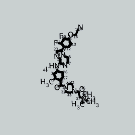 Cc1cc(Nc2nccn3c(-c4ccc(OCC#N)c(F)c4F)cnc23)ccc1C(=O)N1CCN(C(=O)C[N+](C)(C)C)CC1.[I-]